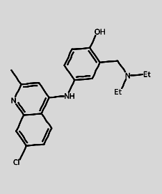 CCN(CC)Cc1cc(Nc2cc(C)nc3cc(Cl)ccc23)ccc1O